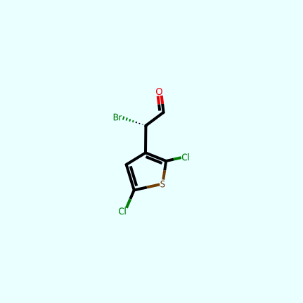 O=C[C@@H](Br)c1cc(Cl)sc1Cl